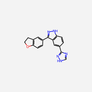 c1nc(-c2ccc3[nH]nc(-c4ccc5c(c4)CCO5)c3c2)n[nH]1